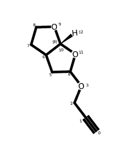 C#CCOC1CC2CCO[C@@H]2O1